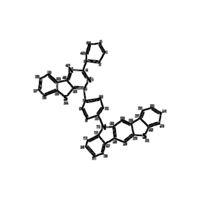 c1ccc(-c2nc(-c3ccc(-n4c5ccccc5c5cc6sc7ccccc7c6cc54)cc3)c3sc4ccccc4c3n2)cc1